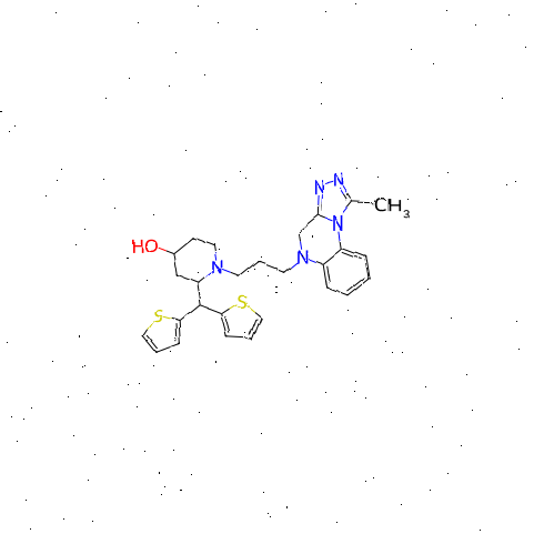 Cc1nnc2n1-c1ccccc1N(CCCN1CCC(O)CC1C(c1cccs1)c1cccs1)C2